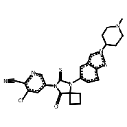 CN1CCC(n2cc3cc(N4C(=S)N(c5cnc(C#N)c(Cl)c5)C(=O)C45CCC5)ccc3n2)CC1